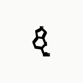 CC(C)(C)c1ccc2cncc-2s1